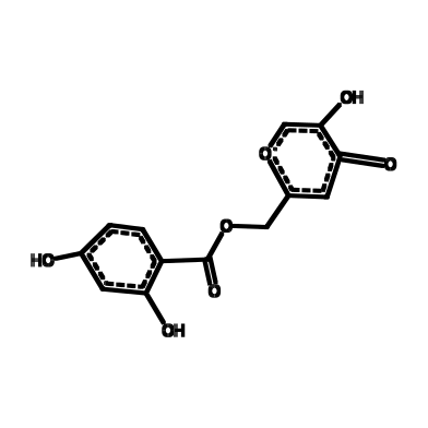 O=C(OCc1cc(=O)c(O)co1)c1ccc(O)cc1O